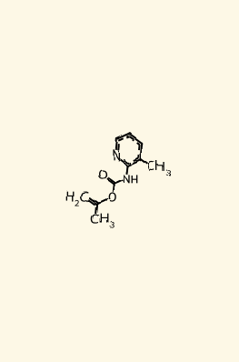 C=C(C)OC(=O)Nc1ncccc1C